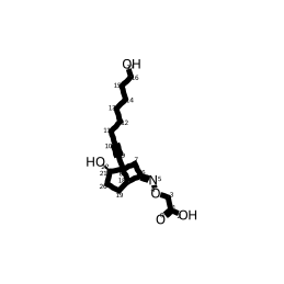 O=C(O)CON=C1CC2(C#CCCCCCCO)C1CC[C@@H]2O